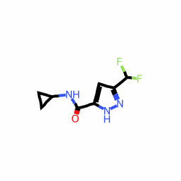 O=C(NC1CC1)c1cc(C(F)F)n[nH]1